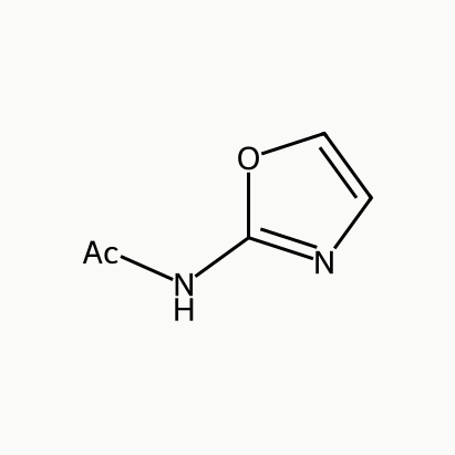 CC(=O)Nc1ncco1